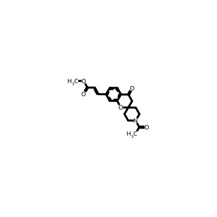 COC(=O)C=Cc1ccc2c(c1)OC1(CCN(C(C)=O)CC1)CC2=O